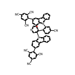 N#Cc1cc(C#N)c(-c2ccc3c(c2)c2ccccc2n3-c2cnccc2-c2ccc(C#N)cc2-n2c3ccccc3c3cc(-c4c(C#N)cc(C#N)cc4C#N)ccc32)c(C#N)c1